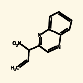 C=CC(c1cnc2ccccc2n1)[N+](=O)[O-]